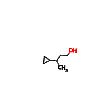 CC(CCO)C1CC1